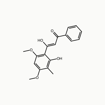 COc1cc(OC)c(C(O)=CC(=O)c2ccccc2)c(O)c1C